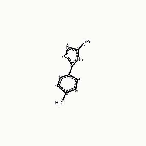 CCCc1noc(-c2ccc(C)cc2)n1